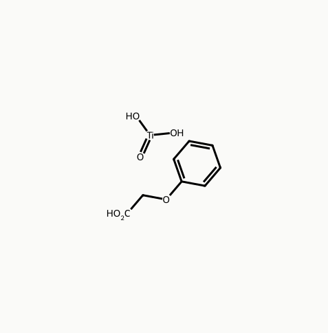 O=C(O)COc1ccccc1.[O]=[Ti]([OH])[OH]